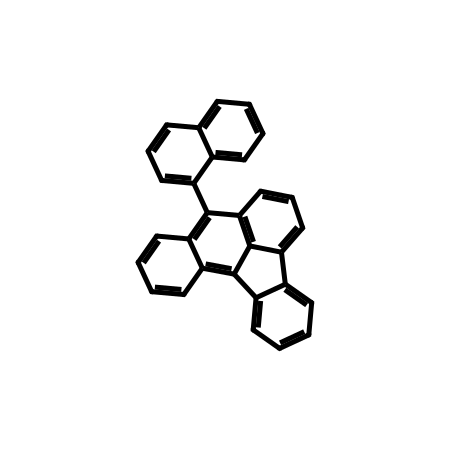 c1ccc2c(c1)-c1cccc3c(-c4cccc5ccccc45)c4ccccc4c-2c13